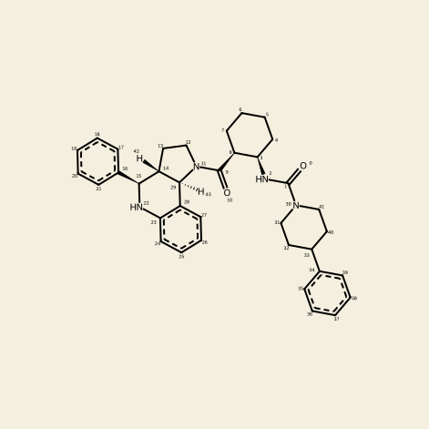 O=C(N[C@@H]1CCCC[C@@H]1C(=O)N1CC[C@H]2[C@H](c3ccccc3)Nc3ccccc3[C@@H]21)N1CCC(c2ccccc2)CC1